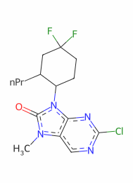 CCCC1CC(F)(F)CCC1n1c(=O)n(C)c2cnc(Cl)nc21